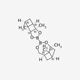 CC12[C@@H]3C[C@H]1[C@@]1(C)OB(B4OC[C@@H]5C[C@@H]6C[C@](C)(O4)C56C)O[C@@]21C3